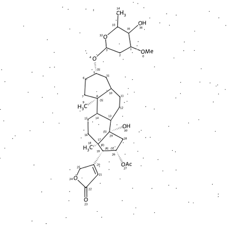 COC1CC(O[C@H]2CC[C@@]3(C)C(CCC4C3CC[C@]3(C)[C@@H](C5=CC(=O)OC5)[C@@H](OC(C)=O)C[C@]43O)C2)OC(C)C1O